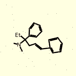 CCC(C/C=C/c1ccccc1)(c1ccccc1)N(C)C